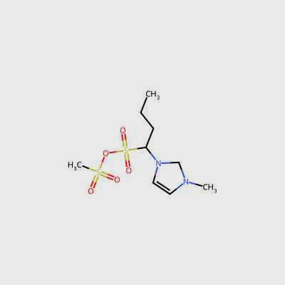 CCCC(N1C=CN(C)C1)S(=O)(=O)OS(C)(=O)=O